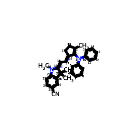 CC1=C(N(c2ccccc2)c2ccccc2)/C(=C/C=C2/N(C)c3ccc(C#N)cc3C2(C)C)CC1